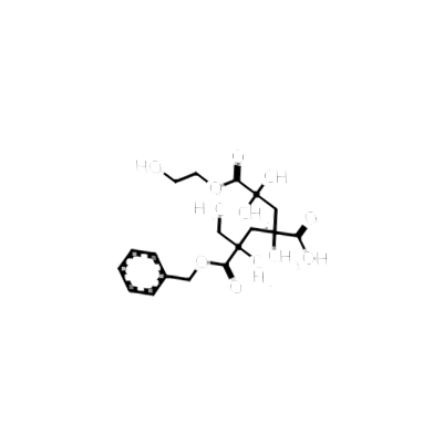 CCC(C)(CC(C)(CC(C)(C)C(=O)OCCO)C(=O)O)C(=O)OCc1ccccc1